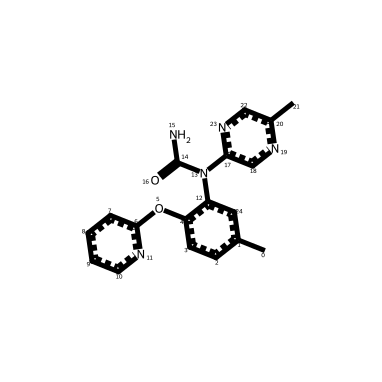 Cc1ccc(Oc2ccccn2)c(N(C(N)=O)c2cnc(C)cn2)c1